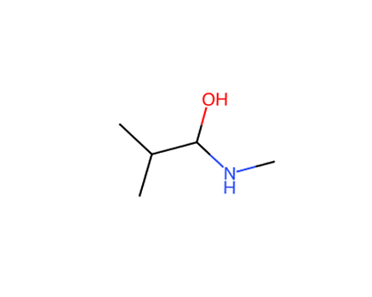 CNC(O)C(C)C